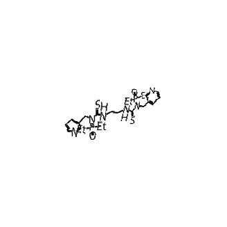 CCP(=O)(CC)N(Cc1cccnc1)C(=S)NCCNC(=S)N(Cc1cccnc1)P(=O)(CC)CC